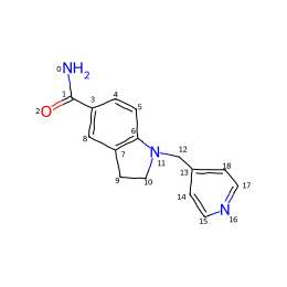 NC(=O)c1ccc2c(c1)CCN2Cc1ccncc1